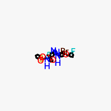 CCC(NCCS(=O)(=O)c1ccccc1)C1(c2cc3c(Nc4ccc(OCc5cccc(F)c5)c(Br)c4)ncnc3cc2F)CC=CO1